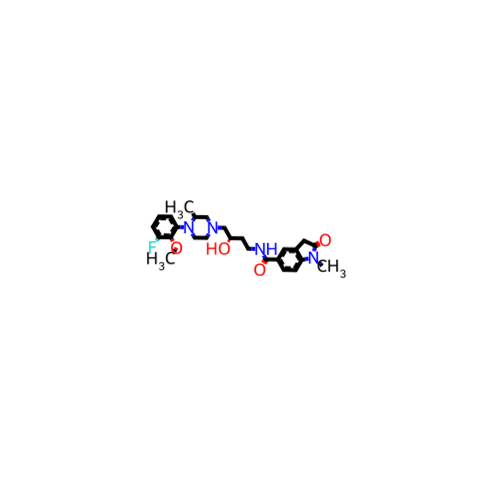 COc1c(F)cccc1N1CCN(C[C@H](O)CCNC(=O)c2ccc3c(c2)CC(=O)N3C)CC1C